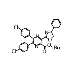 CC(C)(C)OC(=O)c1nc(-c2ccc(Cl)cc2)c(-c2ccc(Cl)cc2)nc1C1=NC(c2ccccc2)CO1